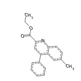 CCOC(=O)c1cc(-c2ccccc2)c2cc(C)ccc2n1